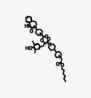 CCCCCCOC(=O)CN1CCC(C2CCN(C(=O)[C@@H](Cc3cc(C)c(O)c(C)c3)OC(=O)N3CCC(N4CCc5ccccc5NC4=O)CC3)CC2)CC1